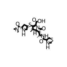 C[C@@H](NC(=O)C1CSCN1)[C@H]1C(=O)N2C(C(=O)O)=C(S[C@@H]3CN[C@H](C(=O)N(C)C)C3)[C@H](C)[C@H]12